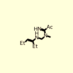 CC/C=C(\CC)NCN(C)C(=N)C(C)=O